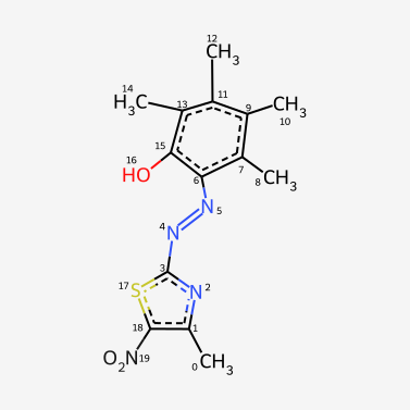 Cc1nc(/N=N/c2c(C)c(C)c(C)c(C)c2O)sc1[N+](=O)[O-]